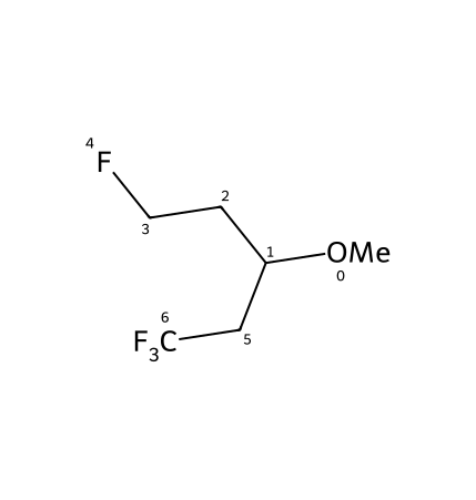 COC(CCF)CC(F)(F)F